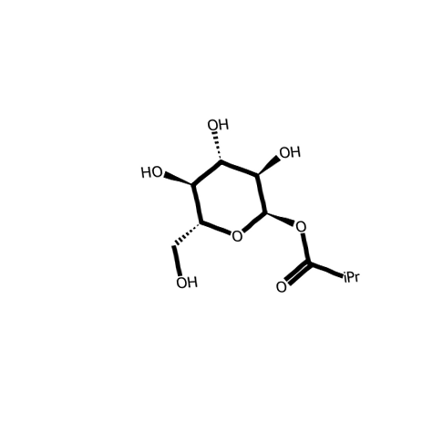 CC(C)C(=O)O[C@H]1O[C@H](CO)[C@@H](O)[C@H](O)[C@H]1O